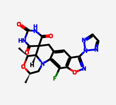 C[C@H]1CN2c3c(cc4c(-n5nccn5)noc4c3F)CC3(C(=O)NC(=O)NC3=O)[C@@H]2[C@@H](C)O1